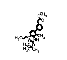 CCCOc1ccc(-c2cccc(CC(=O)OC)c2)c(C)c1NC(=O)OC(C)(C)C